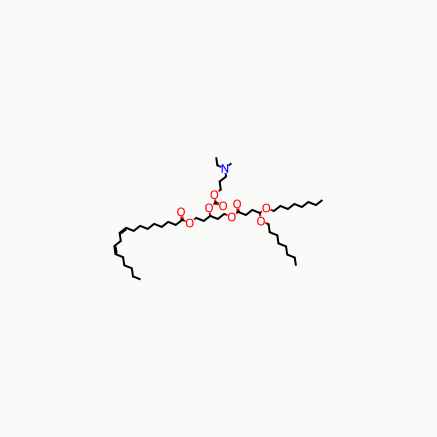 CCCCC/C=C\C/C=C\CCCCCCCC(=O)OCCC(CCOC(=O)CCC(OCCCCCCCC)OCCCCCCCC)OC(=O)OCCCN(C)CC